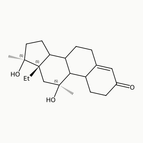 CC[C@]12C[C@](C)(O)C3C4CCC(=O)C=C4CCC3C1CC[C@]2(C)O